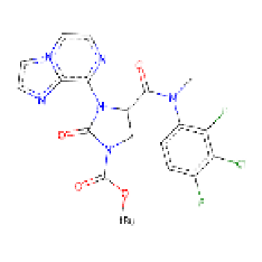 CN(C(=O)C1CN(C(=O)OC(C)(C)C)C(=O)N1c1nccn2ccnc12)c1ccc(F)c(Cl)c1F